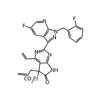 C=CCC1(C(=O)OCC)C(=O)Nc2nc(-c3nn(Cc4ccccc4F)c4ncc(F)cc34)nc(C=C)c21